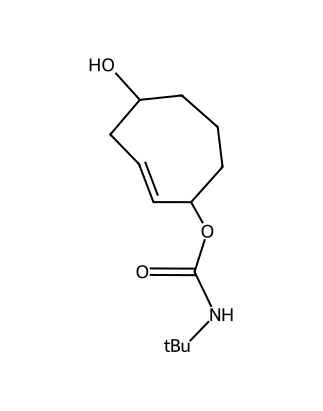 CC(C)(C)NC(=O)OC1/C=C/CC(O)CCC1